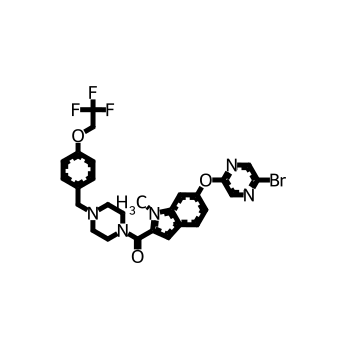 Cn1c(C(=O)N2CCN(Cc3ccc(OCC(F)(F)F)cc3)CC2)cc2ccc(Oc3cnc(Br)cn3)cc21